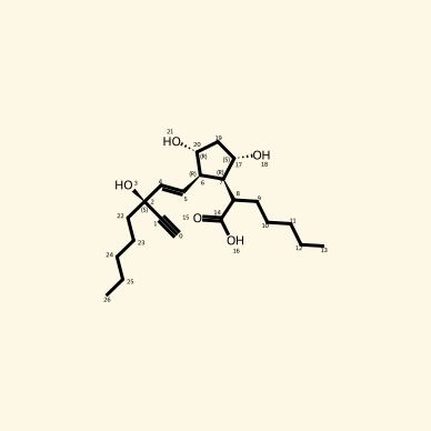 C#C[C@@](O)(C=C[C@@H]1[C@H](C(CCCCC)C(=O)O)[C@@H](O)C[C@H]1O)CCCCC